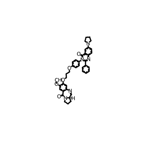 COc1cc2c(cc1OCCCOc1ccc(-n3c(-c4ccccc4)nc4ccc(N5CCCC5)cc4c3=O)cc1)N=C[C@@H]1CCCN1C2=O